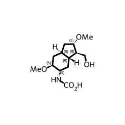 CO[C@H]1C[C@@H]2C[C@H](OC)[C@@H](NC(=O)O)C[C@H]2[C@@H]1CO